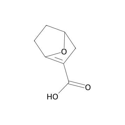 O=C(O)C1=C2CCC(C1)O2